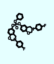 O=P(Oc1ccccc1)(Oc1ccc2c(c1)CN(c1ccc(F)cc1)CO2)Oc1ccc2c(c1)CN(c1ccc(F)cc1)CO2